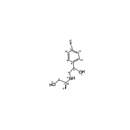 C[C@@H](CO)NCC(O)c1ccc(F)cc1